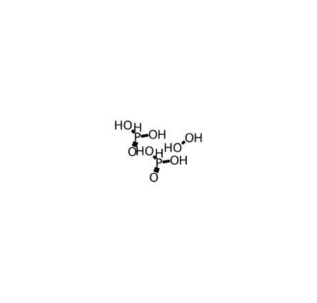 O=[PH](O)O.O=[PH](O)O.OO